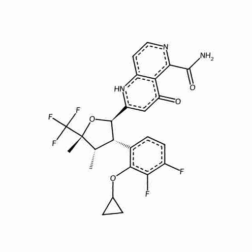 C[C@H]1[C@@H](c2ccc(F)c(F)c2OC2CC2)[C@H](c2cc(=O)c3c(C(N)=O)nccc3[nH]2)O[C@@]1(C)C(F)(F)F